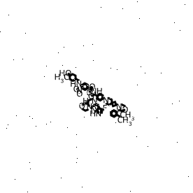 CC(C)c1ccccc1[C@@H]1COCCN1C1CC2(CCN(c3ccc(C(=O)NS(=O)(=O)c4ccc(NCC5CCC(C)(O)CC5)c([N+](=O)[O-])c4)c(N4CC[C@@H]5COCCCN5c5nc6[nH]cc(F)c6cc54)c3)CC2)C1